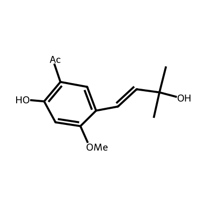 COc1cc(O)c(C(C)=O)cc1/C=C/C(C)(C)O